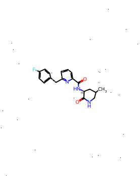 CC1CNC(=O)[C@@H](NC(=O)c2cccc(Cc3ccc(F)cc3)n2)C1